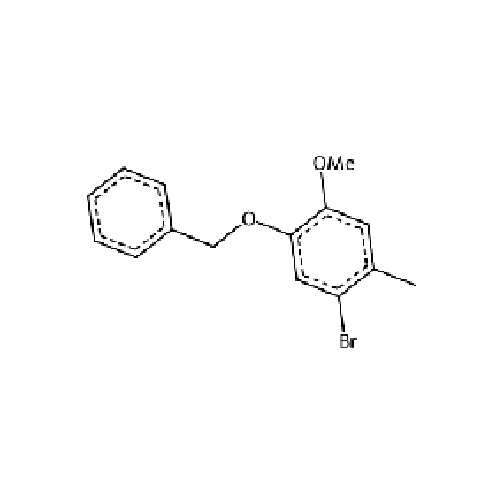 COc1cc(C)c(Br)cc1OCc1ccccc1